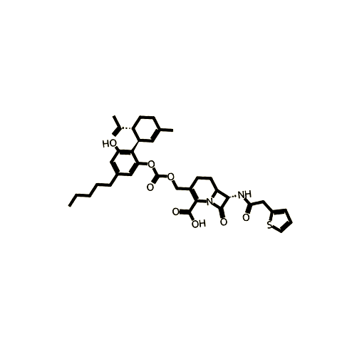 C=C(C)[C@@H]1CCC(C)=C[C@H]1c1c(O)cc(CCCCC)cc1OC(=O)OCC1=C(C(=O)O)N2C(=O)[C@@H](NC(=O)Cc3cccs3)C2CC1